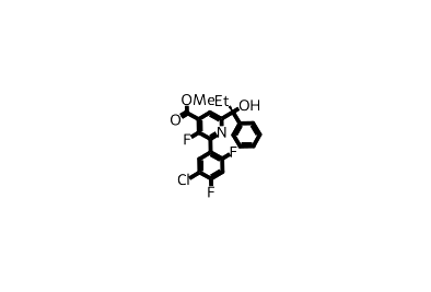 CC[C@@](O)(c1ccccc1)c1cc(C(=O)OC)c(F)c(-c2cc(Cl)c(F)cc2F)n1